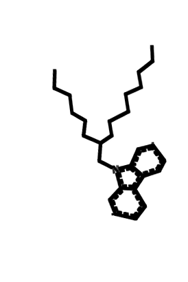 CCCCCCCCC(CCCCCC)Cn1c2c[c]ccc2c2cc[c]cc21